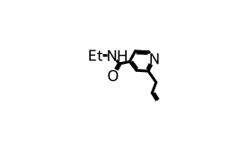 C=CCc1cc(C(=O)NCC)ccn1